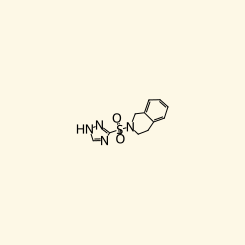 O=S(=O)(c1nc[nH]n1)N1CCc2ccccc2C1